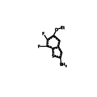 Bc1cc2cc(OCC)c(F)c(F)c2s1